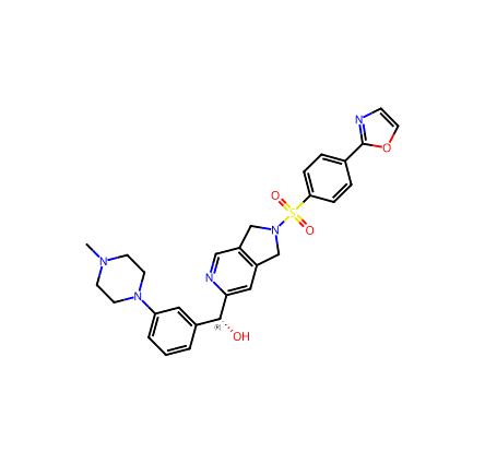 CN1CCN(c2cccc([C@@H](O)c3cc4c(cn3)CN(S(=O)(=O)c3ccc(-c5ncco5)cc3)C4)c2)CC1